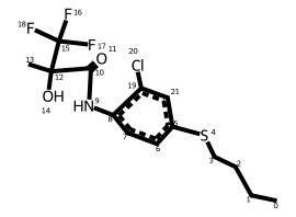 CCCCSc1ccc(NC(=O)C(C)(O)C(F)(F)F)c(Cl)c1